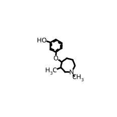 CC1CN(C)CCCC1Oc1cccc(O)c1